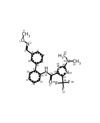 CO/N=C/c1cccc(-c2ccccc2NC(=O)c2sc(N(C)C)nc2C(F)(F)F)c1